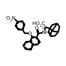 O=C(N[C@H](C(=O)O)C12CC3CC(CC(C3)C1)C2)c1ccc2ccccc2c1OCc1ccc([N+](=O)[O-])cc1